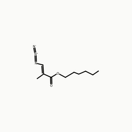 CCCCCCOC(=O)C(C)=CN=[N+]=[N-]